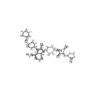 N#CC(=CC1CCCN1)C(=O)NC1CCC(n2c(=O)n(-c3ccc(Oc4ccccc4)cc3)c3c(N)ncnc32)CC1